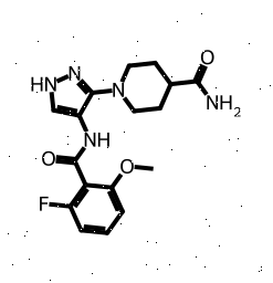 COc1cccc(F)c1C(=O)Nc1c[nH]nc1N1CCC(C(N)=O)CC1